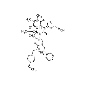 C#CCO[C@H](C)[C@H](NC(=O)[C@H](C)N(C)C(=O)OC(C)(C)C)C(=O)N1CCC[C@H]1CN(CCc1ccccc1)C(=O)[C@H](N)Cc1ccc(OC)cc1